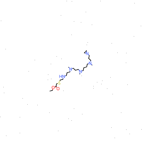 CCOC(=O)CSCCNCCCN(C)CCCN(C)CCCCN(C)CCCN1CC1